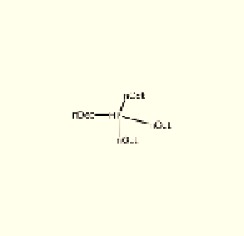 CCCCCCCCCC[PH](CCCCCCCC)(CCCCCCCC)CCCCCCCC